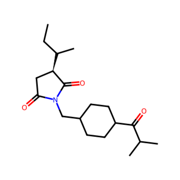 CCC(C)[C@@H]1CC(=O)N(CC2CCC(C(=O)C(C)C)CC2)C1=O